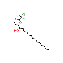 CCCCCCCCCCC/C=C/C(O)C(CC)OC(=O)C(Cl)(Cl)Cl